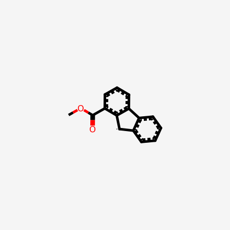 COC(=O)c1cccc2c1[CH]c1ccccc1-2